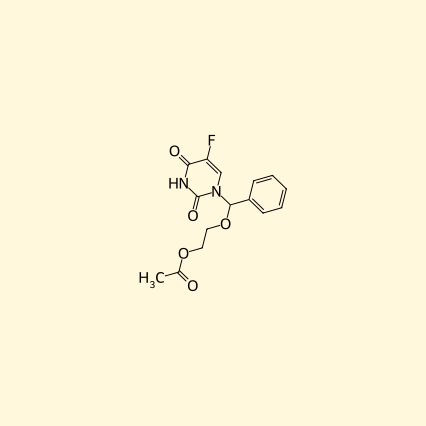 CC(=O)OCCOC(c1ccccc1)n1cc(F)c(=O)[nH]c1=O